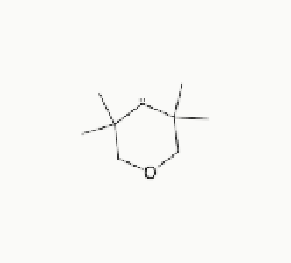 CC1(C)[C]C(C)(C)COC1